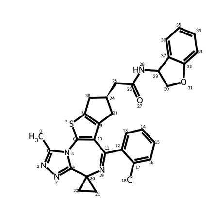 Cc1nnc2n1-c1sc3c(c1C(c1ccccc1Cl)=NC21CC1)C[C@H](CC(=O)NC1COc2ccccc21)C3